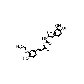 CCOc1cc(C=CC(=O)OC(=O)NC(C)Cc2ccc(O)c(O)c2)ccc1O